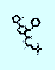 C[C@@H]1CCCN1c1ncc(C(=O)N[C@@H](C)/C=C/S(C)(=O)=O)c(Oc2ccccc2)n1